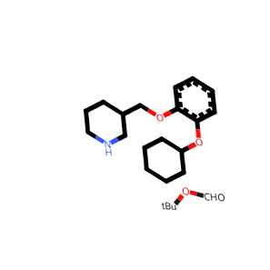 CC(C)(C)OC=O.c1ccc(OC2CCCCC2)c(OCC2CCCNC2)c1